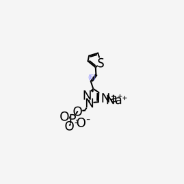 O=P([O-])([O-])OCn1ccc(/C=C/c2cccs2)n1.[Na+].[Na+]